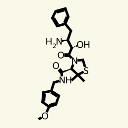 COc1ccc(CNC(=O)[C@H]2N(C(=O)[C@@H](O)[C@@H](N)Cc3ccccc3)CSC2(C)C)cc1